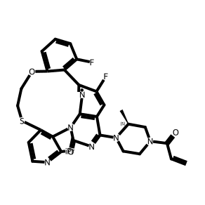 C=CC(=O)N1CCN(c2nc(=O)n3c4nc(c(F)cc24)-c2c(F)cccc2OCCSc2ccnc(C(C)C)c2-3)[C@@H](C)C1